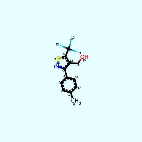 Cc1ccc(-c2nsc(C(F)(F)F)c2CO)cc1